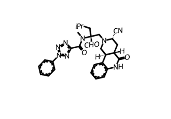 CC(C)C[C@](C=O)(CN1C[C@@H]2c3ccccc3NC(=O)[C@H]2C[C@H]1C#N)N(C)C(=O)c1nnn(-c2ccccc2)n1